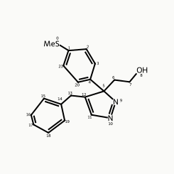 CSc1ccc(C2(CCO)N=NC=C2Cc2ccccc2)cc1